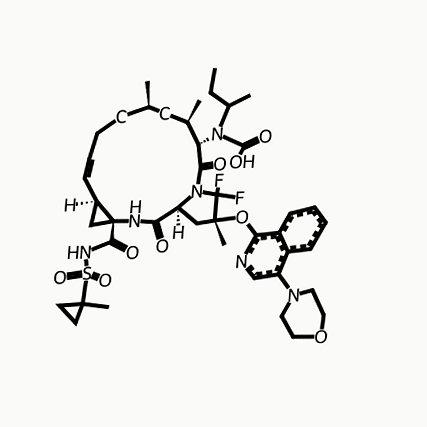 CCC(C)N(C(=O)O)[C@@H]1C(=O)N2[C@@H](C[C@@](C)(Oc3ncc(N4CCOCC4)c4ccccc34)C2(F)F)C(=O)N[C@]2(C(=O)NS(=O)(=O)C3(C)CC3)C[C@H]2/C=C\CC[C@@H](C)C[C@H]1C